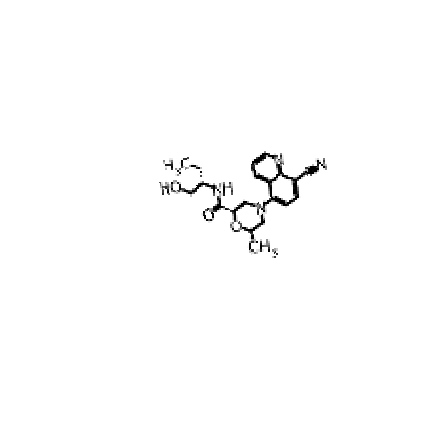 CC[C@@H](CO)NC(=O)[C@H]1CN(c2ccc(C#N)c3ncccc23)C[C@@H](C)O1